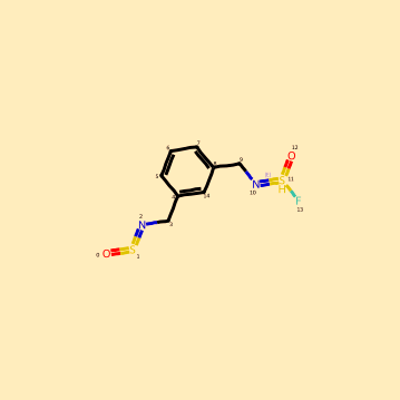 O=S=NCc1cccc(C/N=[SH](=O)/F)c1